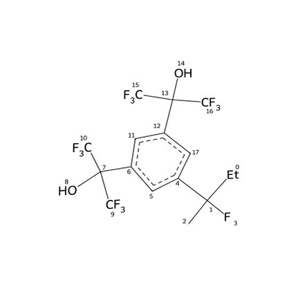 CCC(C)(F)c1cc(C(O)(C(F)(F)F)C(F)(F)F)cc(C(O)(C(F)(F)F)C(F)(F)F)c1